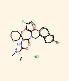 CC[C@H](NC)C(=O)N[C@@H]1C(=O)N(Cc2c(OC)ccc3cc(Br)ccc23)C2=C(OC13CCOCC3)C(F)=CCC2.Cl